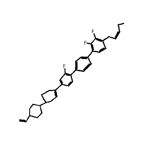 C=CC1CCC(C2CC=C(c3ccc(-c4ccc(-c5ccc(C/C=C\CC)c(F)c5F)cc4)c(F)c3)CC2)CC1